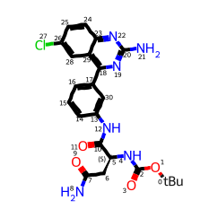 CC(C)(C)OC(=O)N[C@@H](CC(N)=O)C(=O)Nc1cccc(-c2nc(N)nc3ccc(Cl)cc23)c1